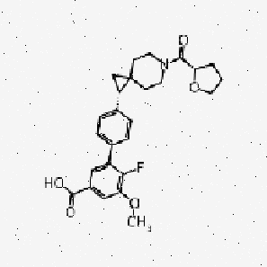 COc1cc(C(=O)O)cc(-c2ccc([C@@H]3CC34CCN(C(=O)[C@H]3CCCO3)CC4)cc2)c1F